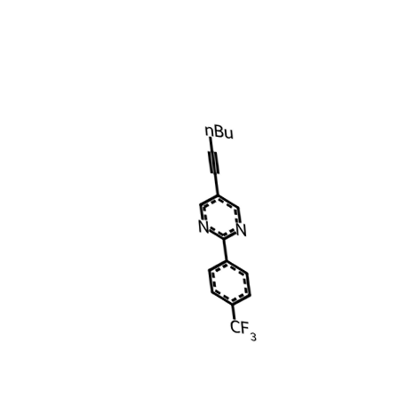 CCCCC#Cc1cnc(-c2ccc(C(F)(F)F)cc2)nc1